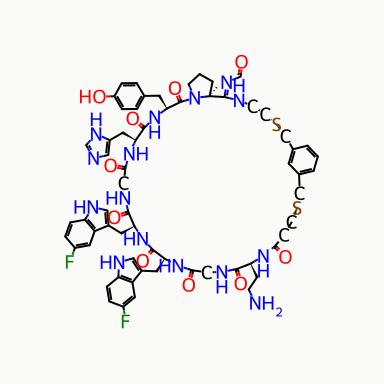 C[C@@]12CCCN1C(=O)[C@H](Cc1ccc(O)cc1)NC(=O)[C@H](Cc1cnc[nH]1)NC(=O)CNC(=O)[C@H](Cc1c[nH]c3ccc(F)cc13)NC(=O)[C@H](Cc1c[nH]c3ccc(F)cc13)NC(=O)CNC(=O)[C@H](CCN)NC(=O)CCSCc1cccc(c1)CSCCN/C2=N\C=O